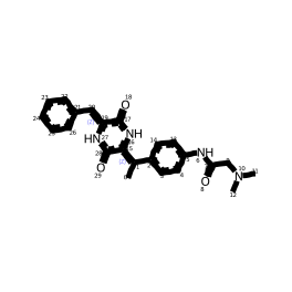 C/C(c1ccc(NC(=O)CN(C)C)cc1)=c1/[nH]c(=O)/c(=C/c2ccccc2)[nH]c1=O